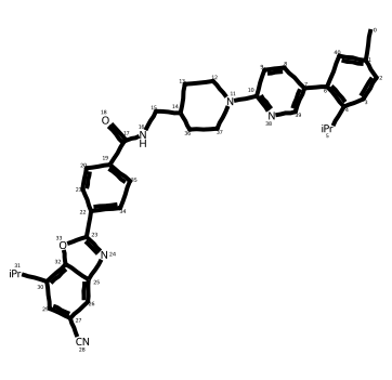 Cc1ccc(C(C)C)c(-c2ccc(N3CCC(CNC(=O)c4ccc(-c5nc6cc(C#N)cc(C(C)C)c6o5)cc4)CC3)nc2)c1